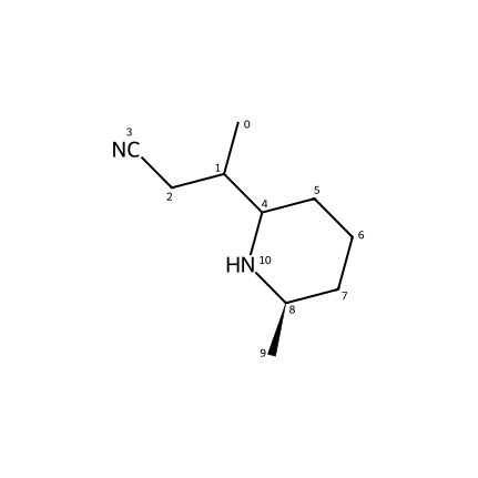 CC(CC#N)C1CCC[C@@H](C)N1